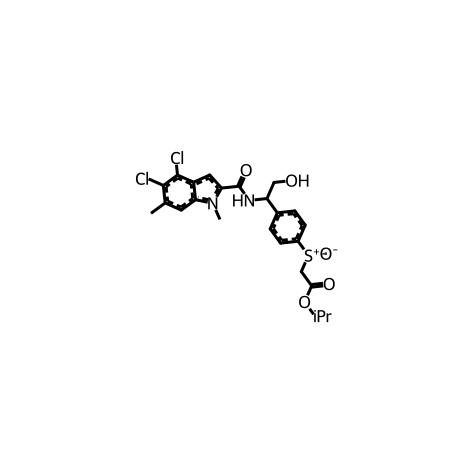 Cc1cc2c(cc(C(=O)NC(CO)c3ccc([S@+]([O-])CC(=O)OC(C)C)cc3)n2C)c(Cl)c1Cl